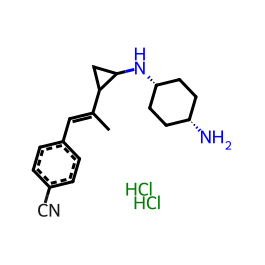 C/C(=C\c1ccc(C#N)cc1)C1CC1N[C@H]1CC[C@@H](N)CC1.Cl.Cl